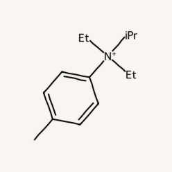 CC[N+](CC)(c1ccc(C)cc1)C(C)C